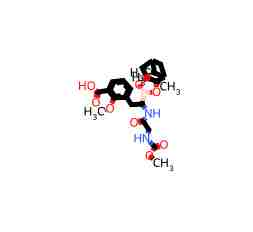 COC(=O)NCC(=O)NC(Cc1cccc(C(=O)O)c1OC)B1OC2CC3CC(C3(C)C)C2(C)O1